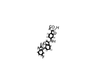 CCc1nc2ccc(F)cc2n1-c1cccc2c1OC[C@@H]2Nc1ccc2c(c1)OC[C@H]2CC(=O)O